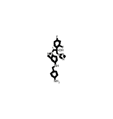 C[C@@H](n1ncc2cc(NCc3ccc(N)cc3)ccc21)[C@](O)(Cn1cncn1)c1ccc(F)cc1F